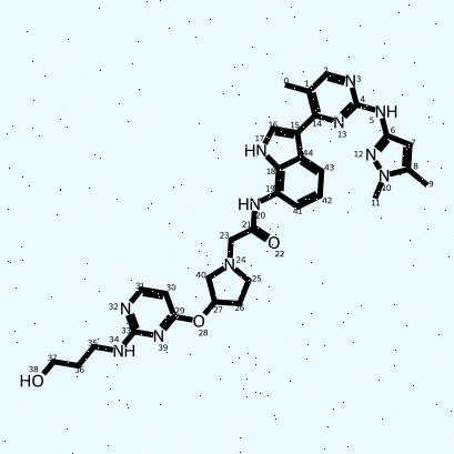 Cc1cnc(Nc2cc(C)n(C)n2)nc1-c1c[nH]c2c(NC(=O)CN3CCC(Oc4ccnc(NCCCO)n4)C3)cccc12